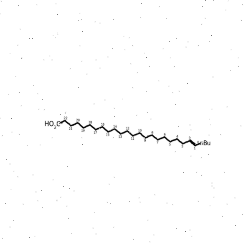 CCCCC=CCCCCCCCCCCCCCCCCCCCCC(=O)O